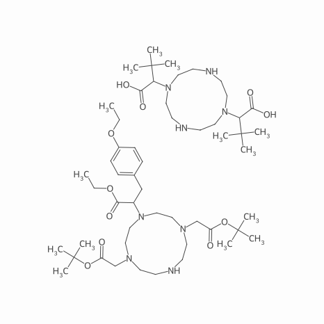 CC(C)(C)C(C(=O)O)N1CCNCCN(C(C(=O)O)C(C)(C)C)CCNCC1.CCOC(=O)C(Cc1ccc(OCC)cc1)N1CCN(CC(=O)OC(C)(C)C)CCNCCN(CC(=O)OC(C)(C)C)CC1